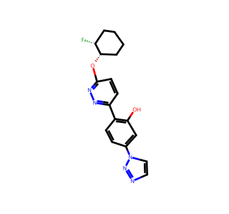 Oc1cc(-n2ccnn2)ccc1-c1ccc(O[C@H]2CCCC[C@H]2F)nn1